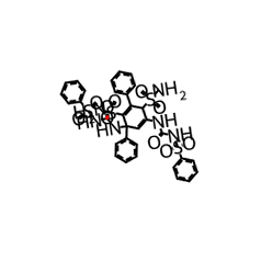 NS(=O)(=O)C1=C(c2ccccc2)C(S(N)(=O)=O)C(NC(=O)NS(=O)(=O)c2ccccc2)=CC1(NC(=O)NS(=O)(=O)c1ccccc1)c1ccccc1